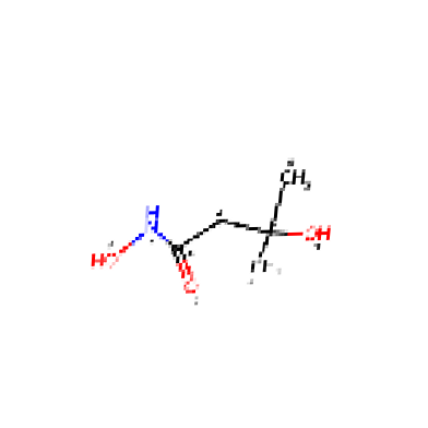 CC(C)(O)[CH]C(=O)NO